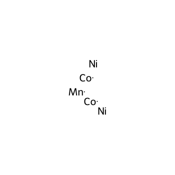 [Co].[Co].[Mn].[Ni].[Ni]